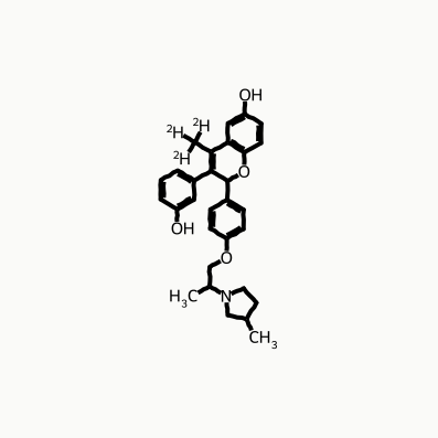 [2H]C([2H])([2H])C1=C(c2cccc(O)c2)C(c2ccc(OCC(C)N3CCC(C)C3)cc2)Oc2ccc(O)cc21